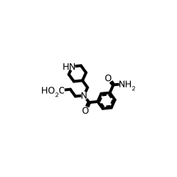 NC(=O)c1cccc(C(=O)N(CCC(=O)O)CC2CCNCC2)c1